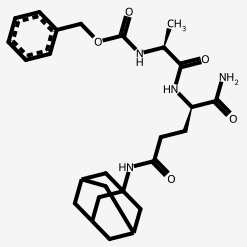 C[C@H](NC(=O)OCc1ccccc1)C(=O)N[C@H](CCC(=O)NC12CC3CC(CC(C3)C1)C2)C(N)=O